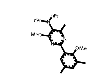 CCCN(CCC)c1c(C)nc(-c2cc(C)cc(C)c2OC)nc1OC